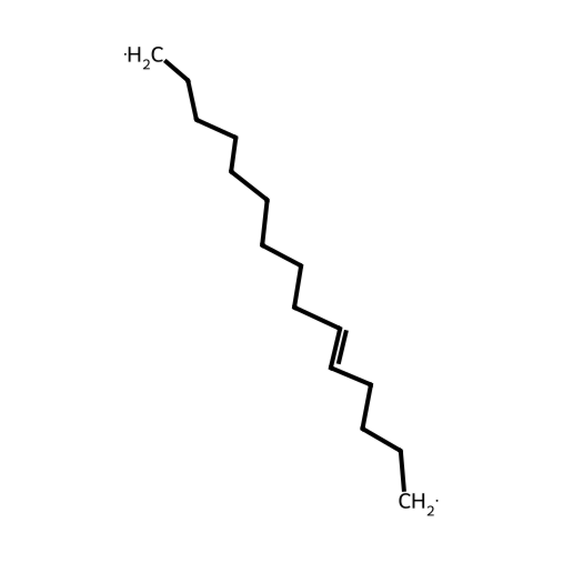 [CH2]CCC/C=C/CCCCCCCC[CH2]